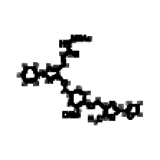 COc1cc(COc2nn(-c3ccccc3)cc2C=CC(=O)NNC(C)=O)ccc1OCc1nc(-c2ccco2)oc1C